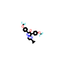 O=c1c(-c2ccc(OC(F)F)cc2)nn2ccc(C3CC3)nc2c1-c1ccc(OC(F)F)cc1